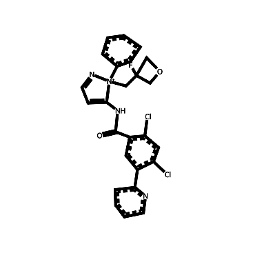 O=C(NC1=CC=N[N+]1(CC1(F)COC1)c1ccccc1)c1cc(-c2ccccn2)c(Cl)cc1Cl